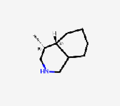 C[C@H]1CNCC2CCCC[C@H]21